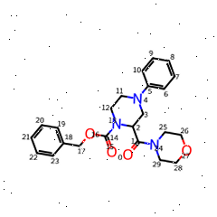 O=C(C1CN(c2ccccc2)CCN1C(=O)OCc1ccccc1)N1CCOCC1